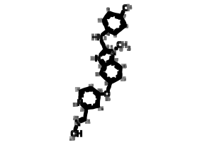 Cn1c(Nc2ccc(Cl)cc2)nc2cc(Oc3ccnc(C=NO)c3)ccc21